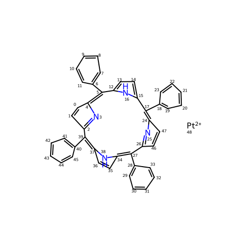 C1=Cc2nc1c(-c1ccccc1)c1ccc([nH]1)c(-c1ccccc1)c1nc(c(-c3ccccc3)c3ccc([nH]3)c2-c2ccccc2)C=C1.[Pt+2]